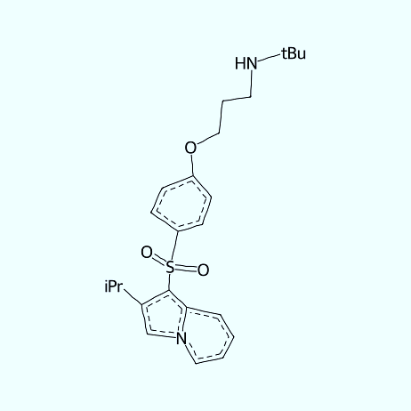 CC(C)c1cn2ccccc2c1S(=O)(=O)c1ccc(OCCCNC(C)(C)C)cc1